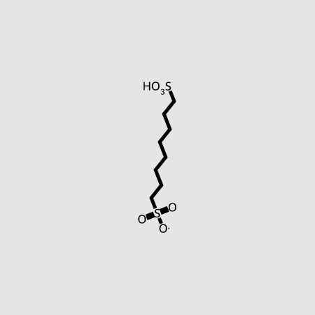 [O]S(=O)(=O)CCCCCCCCS(=O)(=O)O